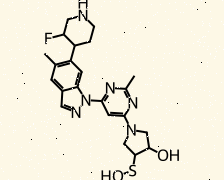 Cc1nc(N2CC(O)C(SO)C2)cc(-n2ncc3cc(C)c(C4CCNCC4F)cc32)n1